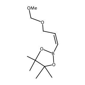 COCOC/C=C\B1OC(C)(C)C(C)(C)O1